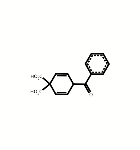 O=C(c1ccccc1)C1C=CC(C(=O)O)(C(=O)O)C=C1